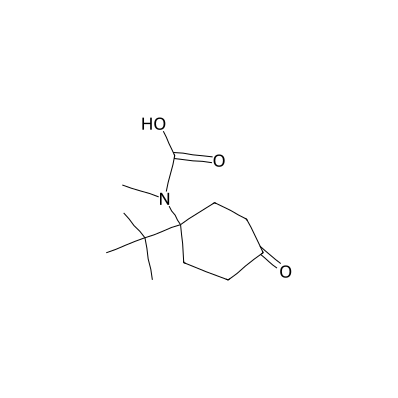 CN(C(=O)O)C1(C(C)(C)C)CCC(=O)CC1